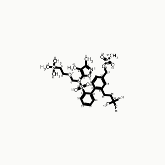 Cc1noc(N(COCC[Si](C)(C)C)S(=O)(=O)c2ccccc2-c2ccc(COS(C)(=O)=O)cc2CCC(F)(F)F)c1C